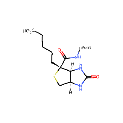 [CH2]CCCCNC(=O)[C@@]1(CCCCC(=O)O)SC[C@@H]2NC(=O)N[C@@H]21